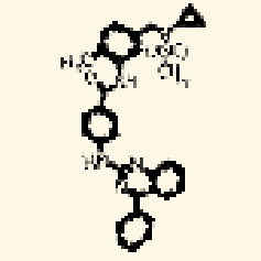 Cc1ccc(CN(C2CC2)S(C)(=O)=O)cc1NC(=O)c1ccc(Nc2nc(-c3ccccc3)c3ccccc3n2)cc1